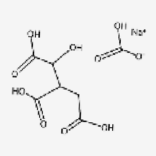 O=C(O)CC(C(=O)O)C(O)C(=O)O.O=C([O-])O.[Na+]